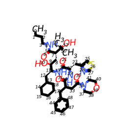 CCCCNC(=O)[C@@H](C[C@H](O)[C@H](CC1CCCCC1)NC(=O)[C@H](Cc1cscn1)NC(=O)C(CC(=O)N1CCOCC1)Cc1ccccc1)C(C)(C)O